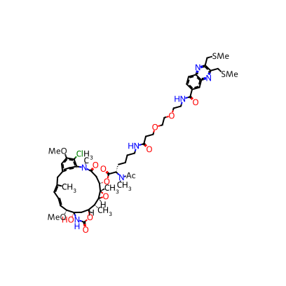 COc1cc2cc(c1Cl)N(C)C(=O)C[C@H](OC(=O)[C@H](CCCCNC(=O)CCOCCOCCNC(=O)c1ccc3nc(CSC)c(CSC)nc3c1)N(C)C(C)=O)[C@]1(C)O[C@H]1[C@H](C)[C@@H]1C[C@@](O)(NC(=O)O1)[C@H](OC)/C=C/C=C(\C)C2